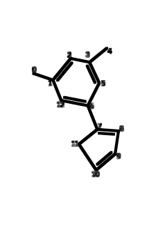 Cc1cc(C)cc(C2=CC=CC2)c1